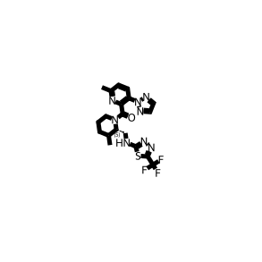 Cc1ccc(-n2nccn2)c(C(=O)N2CCCC(C)[C@H]2CNc2nnc(C(F)(F)F)s2)n1